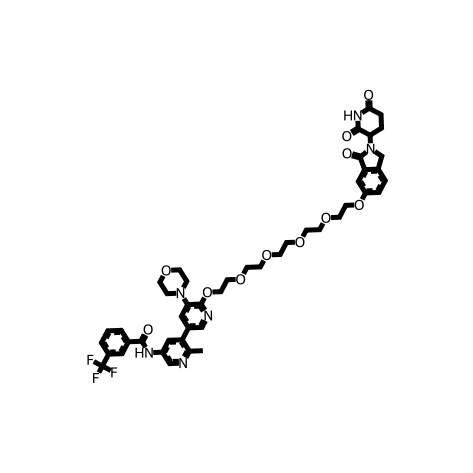 Cc1ncc(NC(=O)c2cccc(C(F)(F)F)c2)cc1-c1cnc(OCCOCCOCCOCCOCCOc2ccc3c(c2)C(=O)N(C2CCC(=O)NC2=O)C3)c(N2CCOCC2)c1